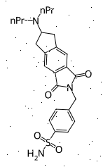 CCCN(CCC)C1Cc2cc3c(cc2C1)C(=O)N(Cc1ccc(S(N)(=O)=O)cc1)C3=O